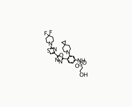 O=S(=O)(CCO)Nc1ccc(-c2nnc(-c3csc(N4CCC(F)(F)CC4)n3)o2)c(N2CCC3(CC2)CC3)c1